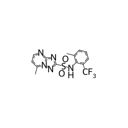 Cc1cccc(C(F)(F)F)c1NS(=O)(=O)c1nc2nccc(C)n2n1